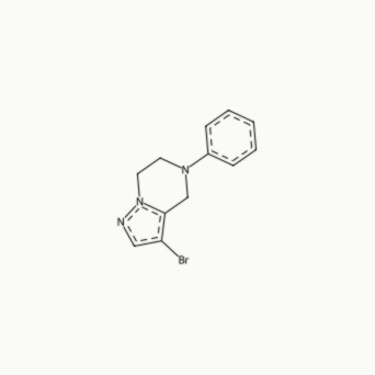 Brc1cnn2c1CN(c1ccccc1)CC2